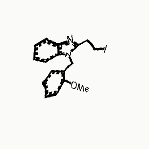 COc1ccccc1Cn1c(CCI)nc2ccccc21